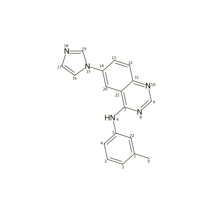 Cc1cccc(Nc2ncnc3ccc(-n4ccnc4)cc23)c1